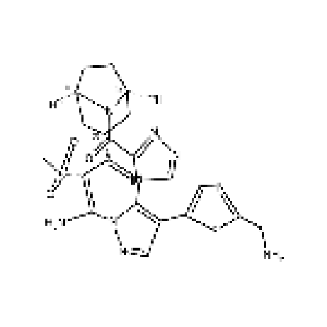 CS(=O)(=O)c1c([C@@H]2C[C@H]3CC[C@@H](C2)N3C(=O)c2nnc[nH]2)nc2c(-c3cnc(CN)s3)cnn2c1N